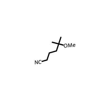 COC(C)(C)CCCC#N